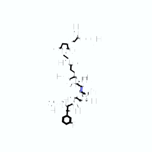 CN[C@H](C(=O)N[C@H](C(=O)N(C)[C@H](/C=C(\C)C(=O)N[C@H](CCC(=O)NCCN1C(=O)CC(SC[C@H](N)C(=O)O)C1=O)C(O)O)C(C)C)C(C)(C)C)C(C)(C)c1cccc(F)c1